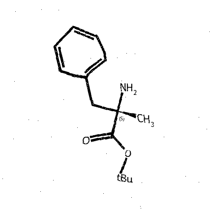 CC(C)(C)OC(=O)[C@@](C)(N)Cc1ccccc1